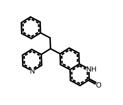 O=c1ccc2cc(C(Cc3ccccc3)c3cccnc3)ccc2[nH]1